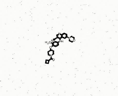 Cc1cc(Nc2c(C#N)cnc3ccc(N4CCOCC4)cc23)ccc1OC1CCN(C(=O)C2CCC2)CC1